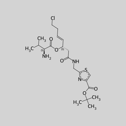 CC(C)[C@H](N)C(=O)O[C@H](C=CCCCl)CC(=O)NCc1nc(C(=O)OC(C)(C)C)cs1